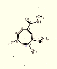 CNC(=O)C1=C=C(NN)/C(C)=C\C(F)=C=C1